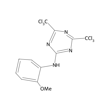 COc1ccccc1Nc1nc(C(Cl)(Cl)Cl)nc(C(Cl)(Cl)Cl)n1